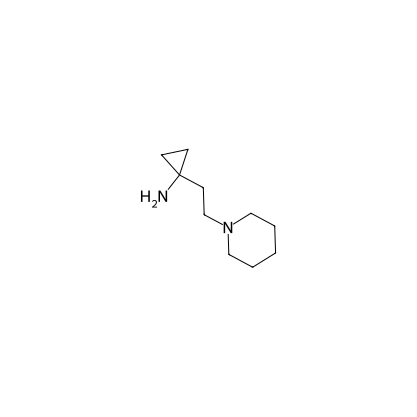 NC1(CCN2CCCCC2)CC1